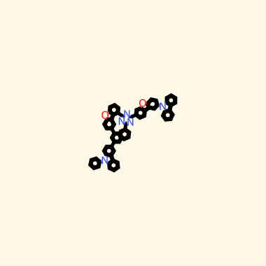 c1ccc(-c2nc(-c3ccc4c(c3)oc3ccc(-n5c6ccccc6c6ccccc65)cc34)nc(-c3cccc4oc5ccc(-c6cccc(-c7ccc8c(c7)c7ccccc7n8-c7ccccc7)c6)cc5c34)n2)cc1